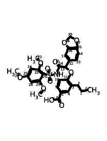 CCCc1cc(C(=O)O)ccc1OC(C(=O)NS(=O)(=O)c1c(OC)cc(OC)cc1OC)c1ccc2c(c1)OCO2